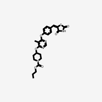 CCCOC(=O)N1CCC(Oc2ncnc(Oc3ccc(C=C4SC(=O)NC4=O)cc3)c2C)CC1